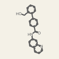 O=C(Nc1ccc2cccnc2c1)c1ccc(-c2ccccc2CO)cc1